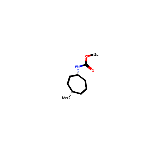 CO[C@H]1CCC[C@@H](NC(=O)OC(C)(C)C)CC1